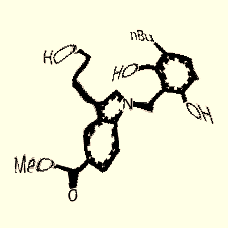 CCCCc1ccc(O)c(Cn2cc(CCO)c3cc(C(=O)OC)ccc32)c1O